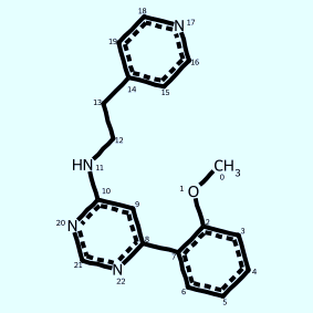 COc1ccccc1-c1cc(NCCc2ccncc2)ncn1